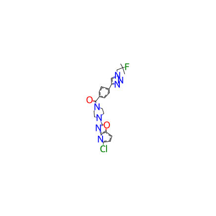 CC(C)(F)Cn1cc(-c2ccc(C(=O)N3CCN(c4nc5nc(Cl)ccc5o4)CC3)cc2)nn1